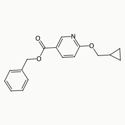 O=C(OCc1ccccc1)c1ccc(OCC2CC2)nc1